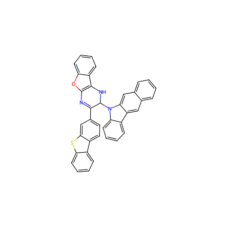 c1ccc2cc3c(cc2c1)c1ccccc1n3C1Nc2c(oc3ccccc23)N=C1c1ccc2c(c1)sc1ccccc12